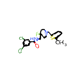 Cc1ccc(CN2CCC(F)(CNC(=O)c3cc(Cl)cc(Cl)c3)CC2)s1